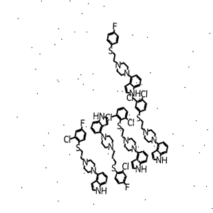 Clc1ccc(SCCN2CCN(c3cccc4[nH]ccc34)CC2)cc1Cl.Clc1cccc(Cl)c1SCCN1CCN(c2cccc3[nH]ccc23)CC1.Fc1ccc(SCCCN2CCN(c3cccc4[nH]ccc34)CC2)c(Cl)c1.Fc1ccc(SCCN2CCN(c3cccc4[nH]ccc34)CC2)c(Cl)c1.Fc1ccc(SCCN2CCN(c3cccc4[nH]ccc34)CC2)cc1